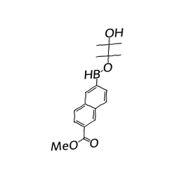 COC(=O)c1ccc2cc(BOC(C)(C)C(C)(C)O)ccc2c1